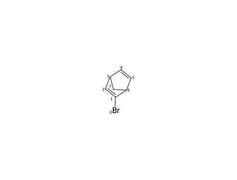 BrC1=CC2C=CC1C2